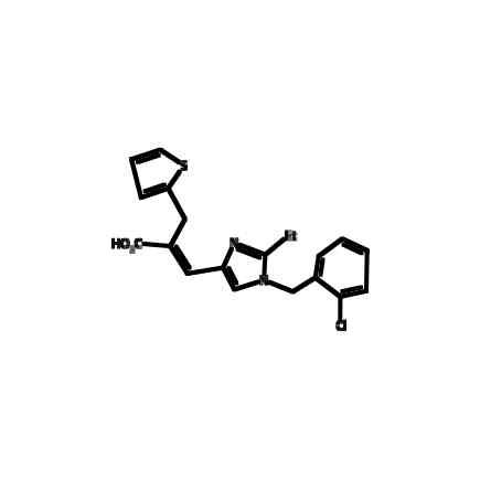 CCc1nc(C=C(Cc2cccs2)C(=O)O)cn1Cc1ccccc1Cl